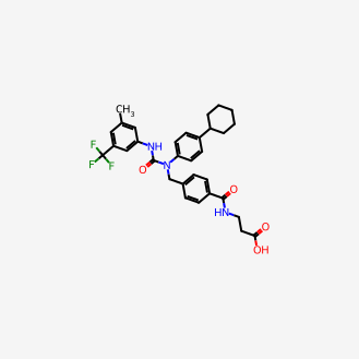 Cc1cc(NC(=O)N(Cc2ccc(C(=O)NCCC(=O)O)cc2)c2ccc(C3CCCCC3)cc2)cc(C(F)(F)F)c1